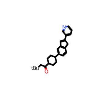 CC(C)(C)CC(=O)C1CCC(c2ccc3c(c2)C=C(c2cccnc2)C3)CC1